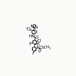 CCOC(=O)Nc1cc(F)ccc1-c1cc(Cl)c(C(=O)Nc2cnc(-n3nccn3)c(Cl)c2)cc1F